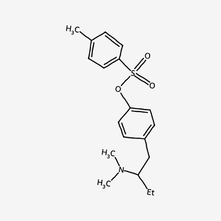 CCC(Cc1ccc(OS(=O)(=O)c2ccc(C)cc2)cc1)N(C)C